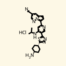 CC(C)Nc1cc(-c2ccc3cc(C#N)cnn23)ncc1-c1nnc([C@H]2CC[C@H](N)CC2)s1.Cl